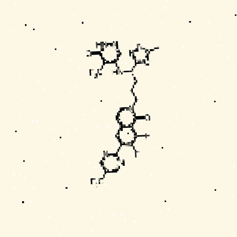 Cc1nnc([C@@H](CCCn2ccc3cc(-c4ncc(C(F)(F)F)cn4)c(F)c(F)c3c2=O)Nc2cn[nH]c(=O)c2C(F)(F)F)o1